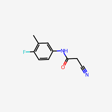 Cc1cc(NC(=O)CC#N)ccc1F